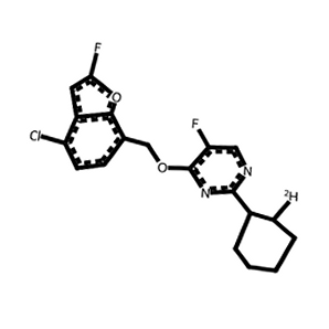 [2H]C1CCCCC1c1ncc(F)c(OCc2ccc(Cl)c3cc(F)oc23)n1